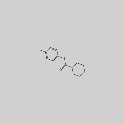 Cc1ccc(SC(=O)C2CCCCC2)cc1